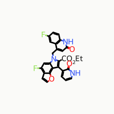 CCOC(=O)c1c(-c2ccc[nH]c2=O)c2c3occc3c(F)cc2n1Cc1cc(=O)[nH]c2ccc(F)cc12